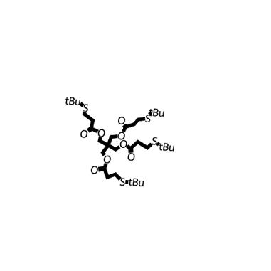 CC(C)(C)SCCC(=O)OCC(COC(=O)CCSC(C)(C)C)(COC(=O)CCSC(C)(C)C)COC(=O)CCSC(C)(C)C